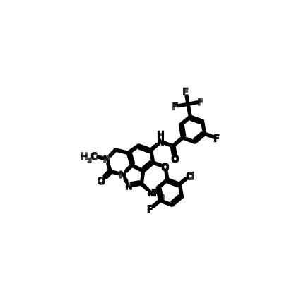 CN1Cc2cc(NC(=O)c3cc(F)cc(C(F)(F)F)c3)c(Oc3cc(F)ccc3Cl)c3c(N)nn(c23)C1=O